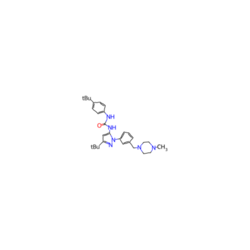 CN1CCN(Cc2cccc(-n3nc(C(C)(C)C)cc3NC(=O)Nc3ccc(C(C)(C)C)cc3)c2)CC1